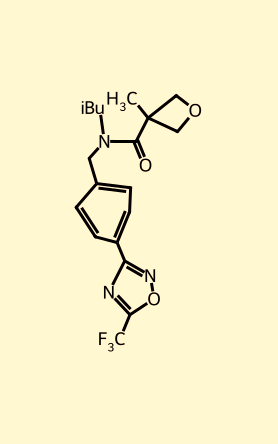 CCC(C)N(Cc1ccc(-c2noc(C(F)(F)F)n2)cc1)C(=O)C1(C)COC1